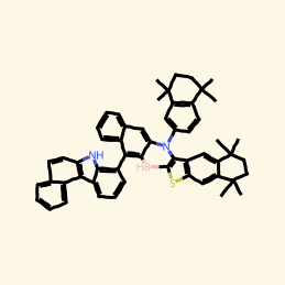 CC1(C)CCC(C)(C)c2cc(N3c4cc5ccccc5c(-c5cccc6c5[nH]c5ccc7ccccc7c56)c4Bc4sc5cc6c(cc5c43)C(C)(C)CCC6(C)C)ccc21